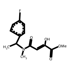 COC(=O)C(O)=CC(=O)N(C)C(C)c1ccc(F)cc1